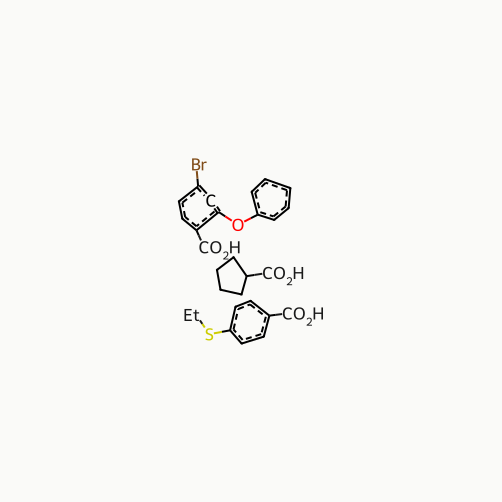 CCSc1ccc(C(=O)O)cc1.O=C(O)C1CCCC1.O=C(O)c1ccc(Br)cc1Oc1ccccc1